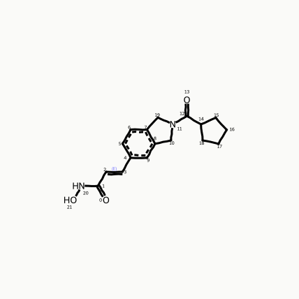 O=C(/C=C/c1ccc2c(c1)CN(C(=O)C1CCCC1)C2)NO